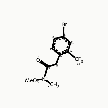 CON(C)C(=O)Cc1ccc(Br)cc1C(F)(F)F